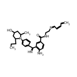 C=C/C=C\C=N/CCNC(=O)c1ccc(N)c(C(=N)c2ccc(N3C(C)CC(O)CC3CCC)cc2)c1